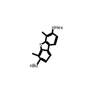 CCCCCCc1ccc2c(sc3c(C)c(CCCC)ccc32)c1C